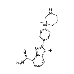 C[C@@]1(c2ccc(-n3nc4c(C(N)=O)cccc4c3F)cc2)CCCNC1